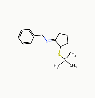 C[Si](C)(C)SC1CCCC1=NCc1ccccc1